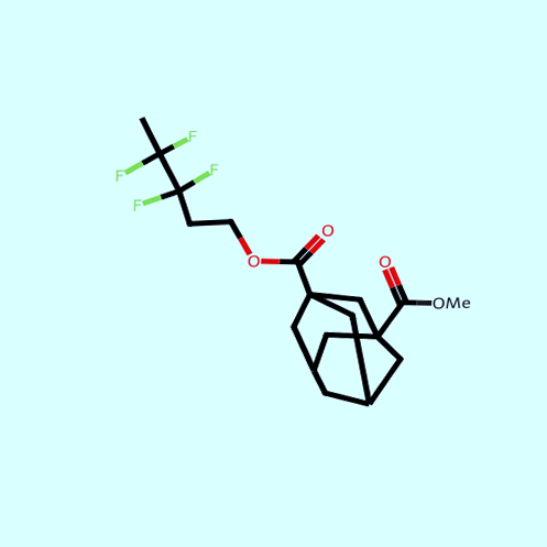 COC(=O)C12CC3CC(C1)CC(C(=O)OCCC(F)(F)C(C)(F)F)(C3)C2